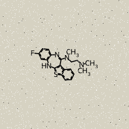 CN(C)CCN(C)C1=Nc2ccc(F)cc2Nc2sc3ccccc3c21